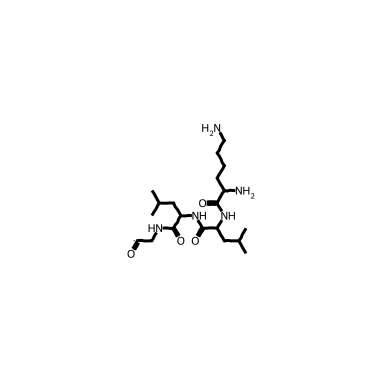 CC(C)CC(NC(=O)C(N)CCCCN)C(=O)NC(CC(C)C)C(=O)NC[C]=O